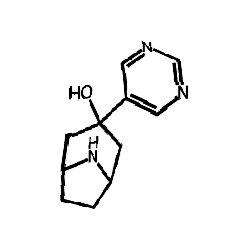 OC1(c2cncnc2)CC2CCC(C1)N2